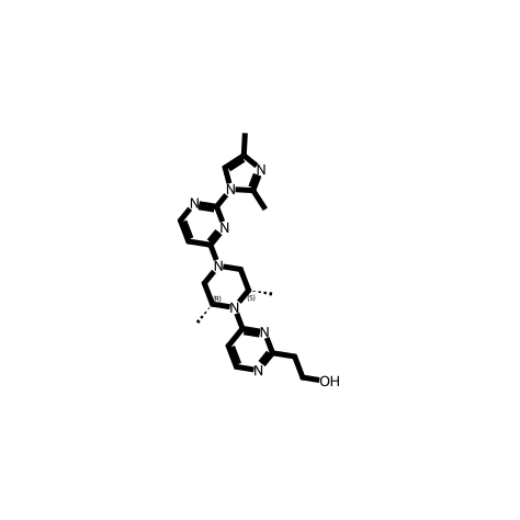 Cc1cn(-c2nccc(N3C[C@@H](C)N(c4ccnc(CCO)n4)[C@@H](C)C3)n2)c(C)n1